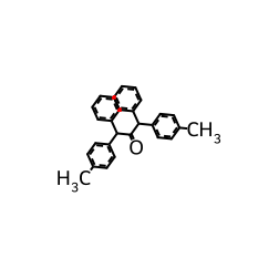 Cc1ccc(C(C(=O)C(c2ccccc2)c2ccc(C)cc2)c2ccccc2)cc1